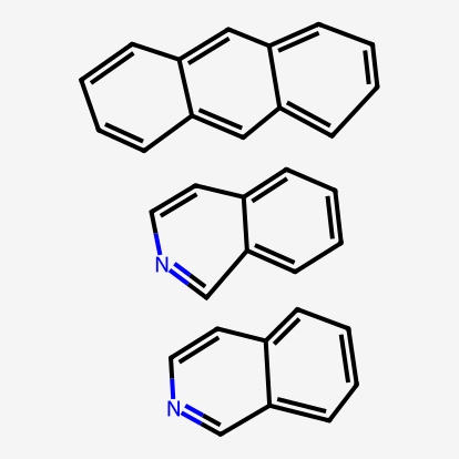 c1ccc2cc3ccccc3cc2c1.c1ccc2cnccc2c1.c1ccc2cnccc2c1